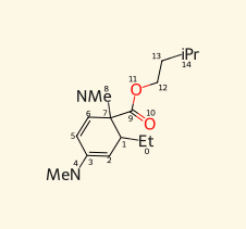 CCC1C=C(NC)C=CC1(NC)C(=O)OCCC(C)C